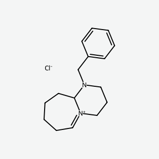 C1=[N+]2CCCN(Cc3ccccc3)C2CCCC1.[Cl-]